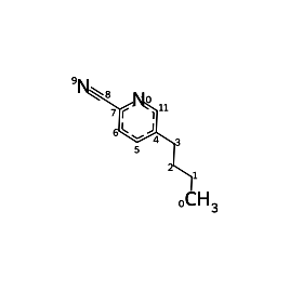 CCCCc1ccc(C#N)nc1